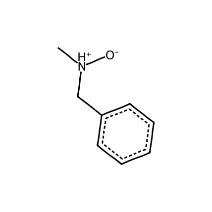 C[NH+]([O-])Cc1ccccc1